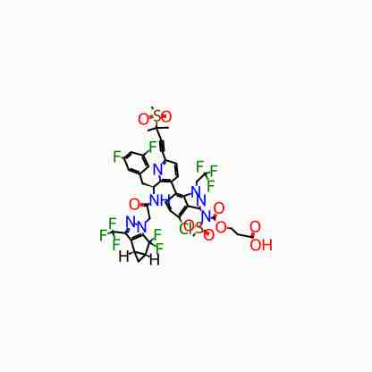 CC(C)(C#Cc1ccc(-c2ccc(Cl)c3c(N(C(=O)OCCC(=O)O)S(C)(=O)=O)nn(CC(F)(F)F)c23)c([C@H](Cc2cc(F)cc(F)c2)NC(=O)Cn2nc(C(F)(F)F)c3c2C(F)(F)[C@@H]2C[C@H]32)n1)S(C)(=O)=O